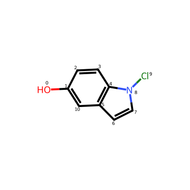 Oc1ccc2c(ccn2Cl)c1